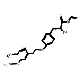 CC/C=C\C(=C/COC)CCOc1ccc(CC(S)C(=O)NC=O)cc1